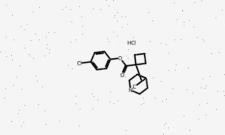 Cl.O=C(Oc1ccc(Cl)cc1)C1(C2CN3CCC2CC3)CCC1